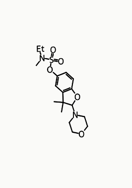 CCN(C)S(=O)(=O)Oc1ccc2c(c1)C(C)(C)C(N1CCOCC1)O2